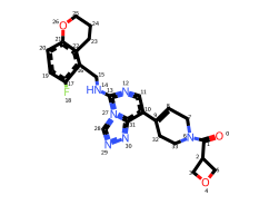 O=C(C1COC1)N1CC=C(c2cnc(NCc3c(F)ccc4c3CCCO4)n3cnnc23)CC1